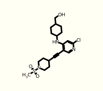 CS(=O)(=O)N1CCC(C#Cc2cnc(Cl)cc2NC2CCC(CO)CC2)CC1